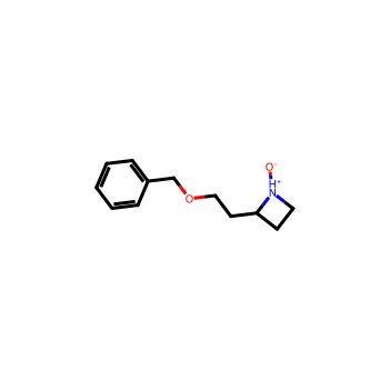 [O-][NH+]1CCC1CCOCc1ccccc1